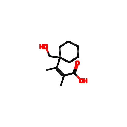 CC(C(=O)O)=C(C)C1(CO)CCCCC1